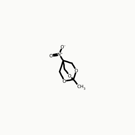 CC12OCC([N+](=O)[O-])(CO1)CO2